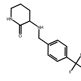 O=C1NCCCC1NCc1ccc(C(F)(F)F)cc1